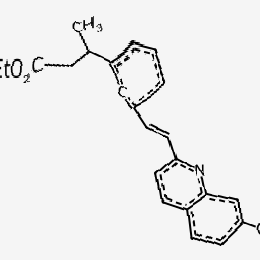 CCOC(=O)CC(C)c1cccc(/C=C/c2ccc3ccc(Cl)cc3n2)c1